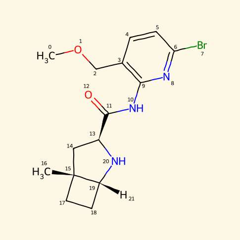 COCc1ccc(Br)nc1NC(=O)[C@@H]1C[C@@]2(C)CC[C@H]2N1